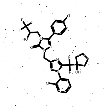 O=c1n(Cc2nc(C(F)(F)C3(O)CCCC3)n(-c3ccccc3Cl)n2)nc(-c2ccc(Cl)cc2)n1CC(O)C(F)(F)F